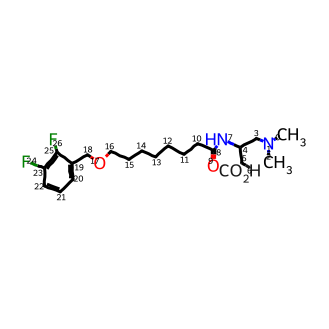 CN(C)CC(CC(=O)O)NC(=O)CCCCCCCOCc1cccc(F)c1F